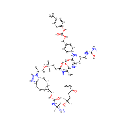 CNC(=O)CCC(C)(C)OCC(C)(N)NC(=O)OCC1C2CCc3nnn(C(C)COC(C)(C)CCC(=O)NC(C(=O)N[C@@H](CCCNC(N)=O)C(=O)Nc4ccc(COC(=O)Oc5ccc([N+](=O)[O-])cc5)cc4)C(C)C)c3CCC21